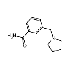 NC(=O)c1cccc(CN2CCCC2)c1